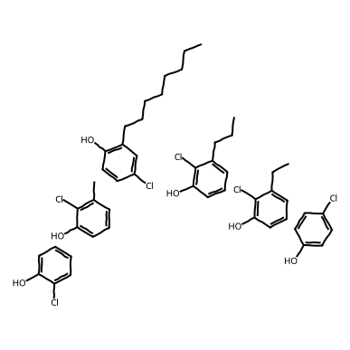 CCCCCCCCc1cc(Cl)ccc1O.CCCc1cccc(O)c1Cl.CCc1cccc(O)c1Cl.Cc1cccc(O)c1Cl.Oc1ccc(Cl)cc1.Oc1ccccc1Cl